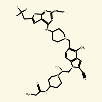 CCC(=O)NC1CCN([C@@H](C)Cn2c(C#N)cc3c(C)c(CN4CCC(Nc5nc(NC)nc6sc(CC(F)(F)F)cc56)CC4)ccc32)CC1